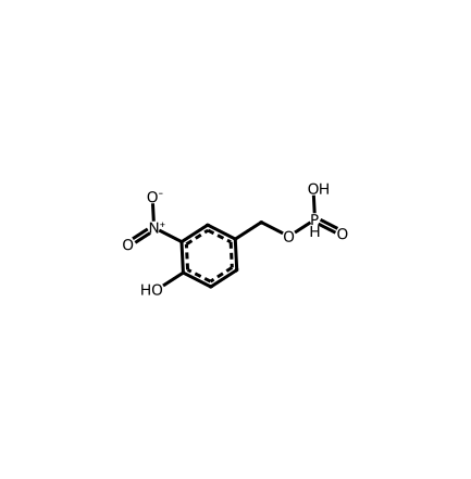 O=[N+]([O-])c1cc(CO[PH](=O)O)ccc1O